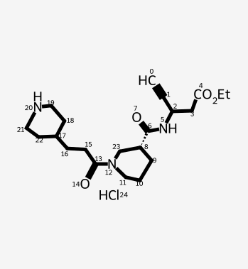 C#CC(CC(=O)OCC)NC(=O)[C@@H]1CCCN(C(=O)CCC2CCNCC2)C1.Cl